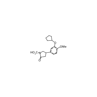 COc1ccc(C2CC(=O)N(C(=O)O)C2)cc1OC1CCCC1